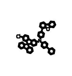 Clc1ccc2c(c1)C1(c3ccccc3-c3ccccc31)c1ccc(N(c3ccc(-c4ccccc4)cc3)c3ccc(-c4cccc5c4oc4ccccc45)cc3)cc1-2